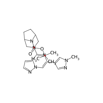 Cn1cc(-c2cn3nccc3c(N3CC4CCC(C3)N4C(=O)OC(C)(C)C)n2)cn1